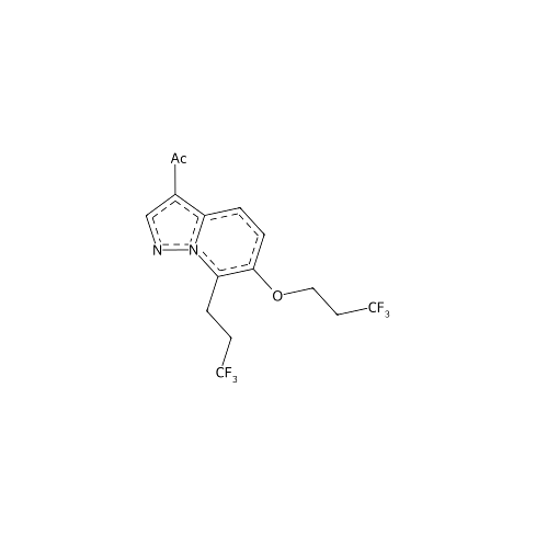 CC(=O)c1cnn2c(CCC(F)(F)F)c(OCCC(F)(F)F)ccc12